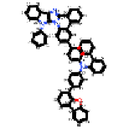 c1ccc(-c2ccccc2N(c2ccc(-c3ccc4c(c3)c3ccccc3c3nc5c6ccccc6n(-c6ccccc6)c5n43)cc2)c2ccc(-c3cccc4c3oc3ccccc34)cc2)cc1